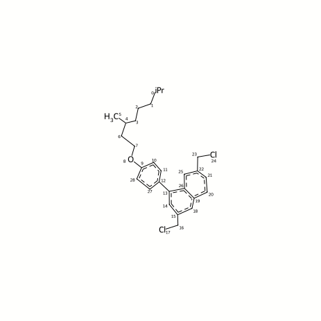 CC(C)CCCC(C)CCOc1ccc(-c2cc(CCl)cc3ccc(CCl)cc23)cc1